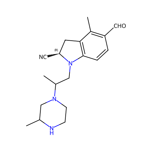 Cc1c(C=O)ccc2c1C[C@H](C#N)N2CC(C)N1CCNC(C)C1